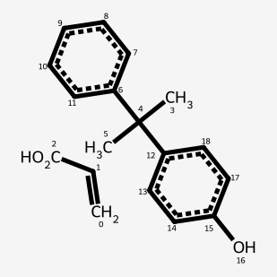 C=CC(=O)O.CC(C)(c1ccccc1)c1ccc(O)cc1